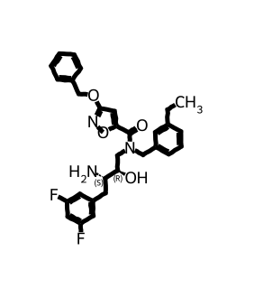 CCc1cccc(CN(C[C@@H](O)[C@@H](N)Cc2cc(F)cc(F)c2)C(=O)c2cc(OCc3ccccc3)no2)c1